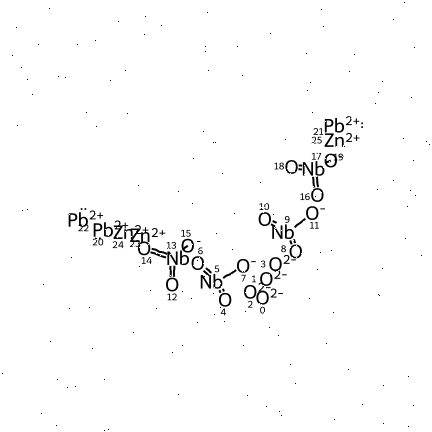 [O-2].[O-2].[O-2].[O-2].[O]=[Nb](=[O])[O-].[O]=[Nb](=[O])[O-].[O]=[Nb](=[O])[O-].[O]=[Nb](=[O])[O-].[Pb+2].[Pb+2].[Pb+2].[Zn+2].[Zn+2].[Zn+2]